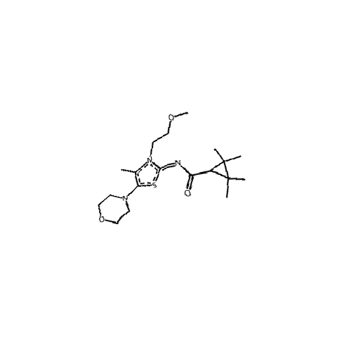 COCCn1c(C)c(N2CCOCC2)sc1=NC(=O)C1C(C)(C)C1(C)C